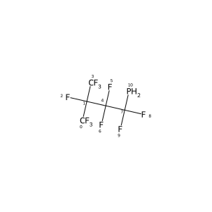 FC(F)(F)C(F)(C(F)(F)F)C(F)(F)C(F)(F)P